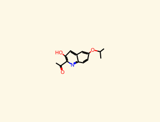 CC(=O)c1nc2ccc(OC(C)C)cc2cc1O